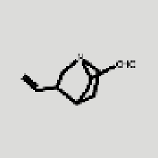 C=CC1CN2CCC1CC2C=O